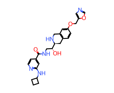 O=C(NC[C@@H](O)[C@@H]1Cc2ccc(OCc3cnco3)cc2CN1)c1ccnc(NC2CCC2)c1